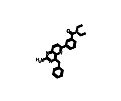 CCN(CC)C(=O)c1cccc(-c2ccc3nc(N)nc(Cc4ccccc4)c3n2)c1